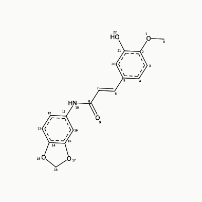 COc1ccc(C=CC(=O)Nc2ccc3c(c2)OCO3)cc1O